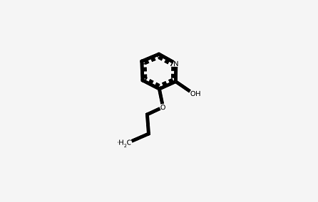 [CH2]CCOc1cccnc1O